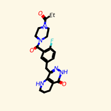 CCC(=O)N1CCN(C(=O)c2cc(Cc3n[nH]c(=O)c4c3NCCC4)ccc2F)CC1